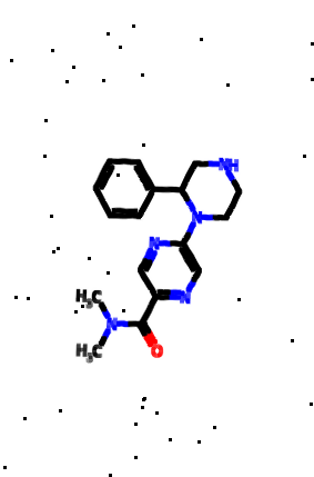 CN(C)C(=O)c1cnc(N2CCNCC2c2ccccc2)cn1